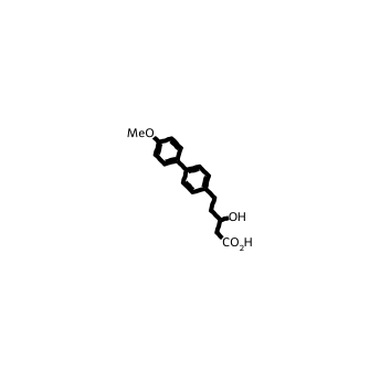 COc1ccc(-c2ccc(CCC(O)CC(=O)O)cc2)cc1